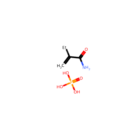 C=C(CC)C(N)=O.O=P(O)(O)O